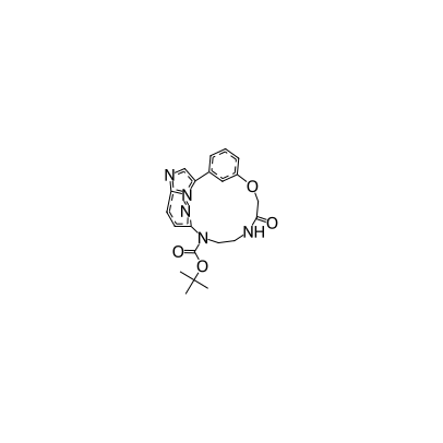 CC(C)(C)OC(=O)N1CCNC(=O)COc2cccc(c2)-c2cnc3ccc1nn23